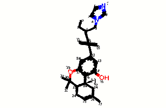 CCC(Cn1ccnc1)C(C)(C)c1cc(O)c2c(c1)OC(C)(C)C1CC=C(C)C[C@@H]21